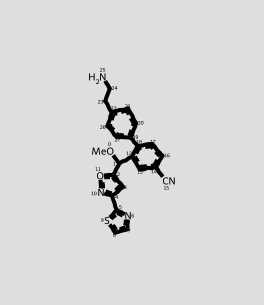 COC(c1cc(-c2nccs2)no1)c1cc(C#N)ccc1-c1ccc(CCN)cc1